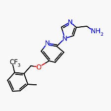 Cc1cccc(C(F)(F)F)c1COc1ccc(-n2cnc(CN)c2)nc1